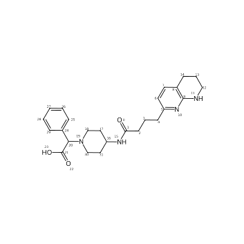 O=C(CCCc1ccc2c(n1)NCCC2)NC1CCN(C(C(=O)O)c2ccccc2)CC1